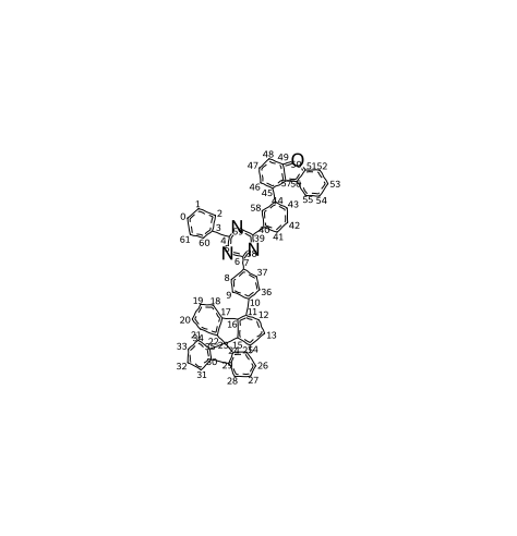 c1ccc(-c2nc(-c3ccc(-c4cccc5c4-c4ccccc4C54c5ccccc5-c5ccccc54)cc3)nc(-c3cccc(-c4cccc5oc6ccccc6c45)c3)n2)cc1